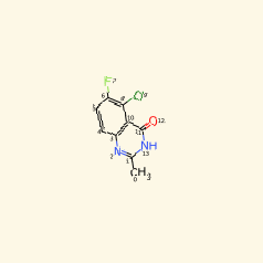 Cc1nc2ccc(F)c(Cl)c2c(=O)[nH]1